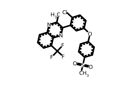 Cc1nc2cccc(C(F)(F)F)c2nc1-c1cc(Oc2ccc(S(C)(=O)=O)cc2)ccc1Cl